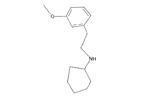 COc1cccc(CCNC2CCCCC2)c1